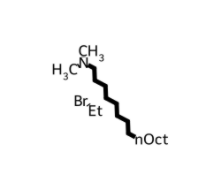 CCBr.CCCCCCCCCCCCCCCCN(C)C